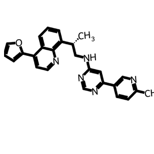 Cc1ccc(-c2cc(NC[C@@H](C)c3cccc4c(-c5ccco5)ccnc34)ncn2)cn1